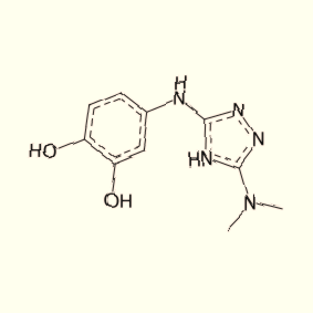 CN(C)c1nnc(Nc2ccc(O)c(O)c2)[nH]1